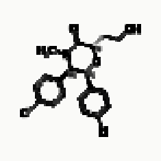 CN1C(=O)[C@H](CCO)O[C@@H](c2ccc(Cl)cc2)[C@H]1c1ccc(Cl)cc1